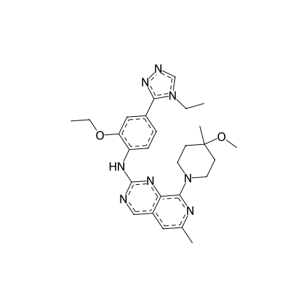 CCOc1cc(-c2nncn2CC)ccc1Nc1ncc2cc(C)nc(N3CCC(C)(OC)CC3)c2n1